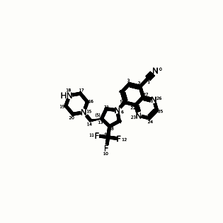 N#Cc1ccc(N2CC(C(F)(F)F)[C@@H](CN3CCNCC3)C2)c2nccnc12